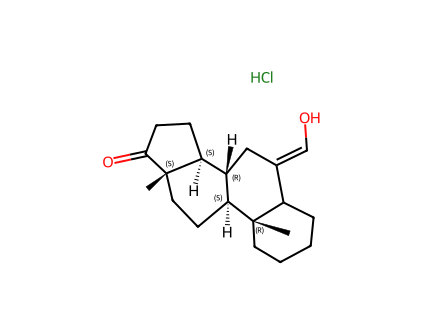 C[C@]12CCCCC1C(=CO)C[C@@H]1[C@@H]2CC[C@]2(C)C(=O)CC[C@@H]12.Cl